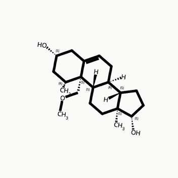 COC[C@]12C(=CC[C@H]3[C@@H]4CC[C@H](O)[C@@]4(C)CC[C@@H]31)C[C@@H](O)C[C@H]2C